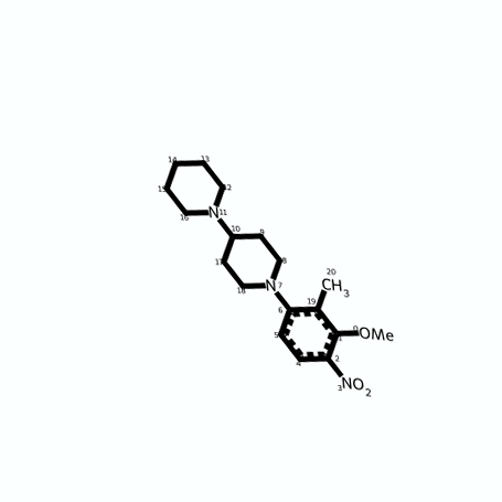 COc1c([N+](=O)[O-])ccc(N2CCC(N3CCCCC3)CC2)c1C